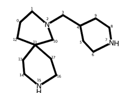 C1CN(CC2CCNCC2)CC2(C1)CCNCC2